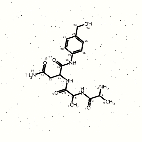 CC(N)C(=O)NC(C)C(=O)NC(CC(N)=O)C(=O)Nc1ccc(CO)cc1